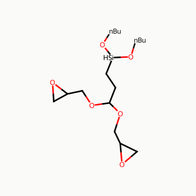 CCCCO[SiH](CCC(OCC1CO1)OCC1CO1)OCCCC